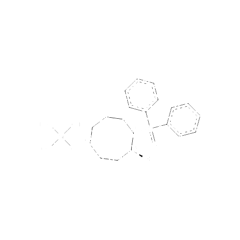 CC(C)(C)[Si](C)(C)O[C@@H]1CCC[C@H](P(=O)(c2ccccc2)c2ccccc2)[C@@H](O)CC1